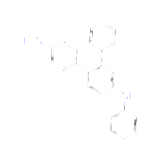 Cc1c(Nc2ccccc2)ccc(-c2ccc(N)cc2)c1-c1ccccc1